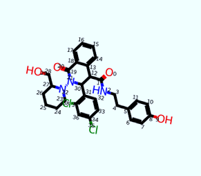 O=C(NCCc1ccc(O)cc1)C1c2ccccc2C(=O)N(N2CCCCC2CO)C1c1ccc(Cl)cc1Cl